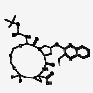 CCc1nc2ccccc2nc1OC1CC2C(=O)NC3(C(=O)O)CC3CC(F)(F)CCCCCC(NC(=O)OC(C)(C)C)C(=O)N2C1